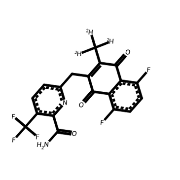 [2H]C([2H])([2H])C1=C(Cc2ccc(C(F)(F)F)c(C(N)=O)n2)C(=O)c2c(F)ccc(F)c2C1=O